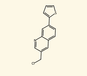 ClCc1cnc2cc(-c3cccs3)ccc2c1